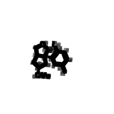 CO[C@@H]1CC2CON[C@@]2(c2cc(C)ccc2F)C1